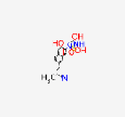 CC(C#N)CCc1ccc2cc(O)c(N3CC(O)NS3(O)O)cc2c1